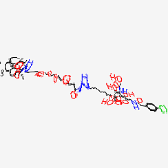 CC(C)(C)OC(=O)NCCOCCOCCOCCOCCC(=O)NCCCCCCO[C@]1(C(=O)O)C[C@H](O)[C@@H](NC(=O)CO)[C@H]([C@H](O)[C@H](O)CNC(=O)Cc2ccc(Cl)cc2)O1